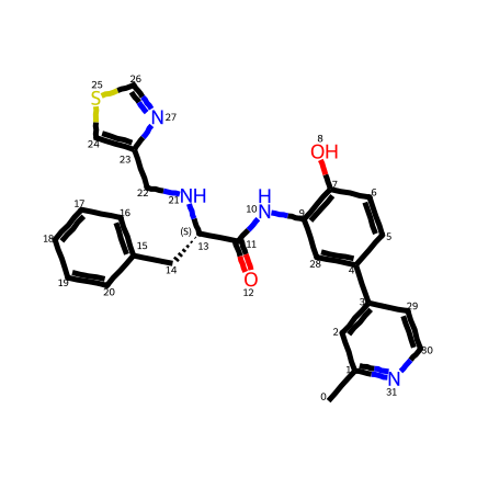 Cc1cc(-c2ccc(O)c(NC(=O)[C@H](Cc3ccccc3)NCc3cscn3)c2)ccn1